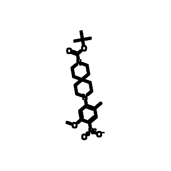 COc1cc(N2CCC3(CCN(C(=O)OC(C)(C)C)CC3)CC2)c(C)cc1[N+](=O)[O-]